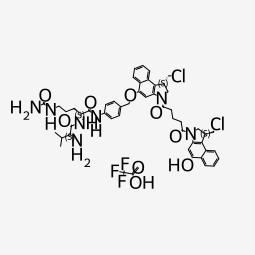 CC(C)[C@H](N)C(=O)N[C@@H](CCCNC(N)=O)C(=O)Nc1ccc(COc2cc3c(c4ccccc24)[C@H](CCl)CN3C(=O)CCCC(=O)N2C[C@@H](CCl)c3c2cc(O)c2ccccc32)cc1.O=C(O)C(F)(F)F